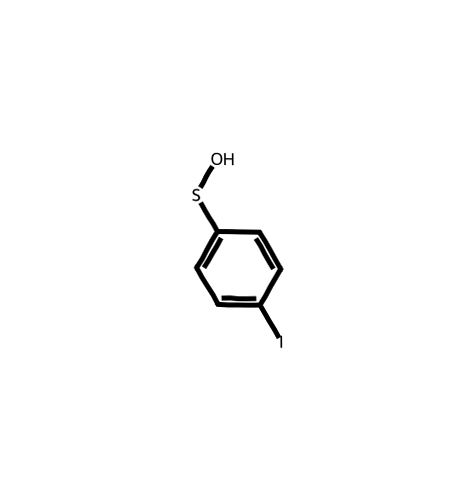 OSc1ccc(I)cc1